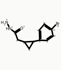 NNC(=O)CC1CC1c1ccc(Br)cc1